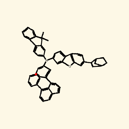 CC1(C)c2ccccc2-c2ccc(N(c3cccc(-c4cccc5cccc(-c6ccccc6)c45)c3)c3ccc4c(c3)oc3cc(C5CC6CCC5C6)ccc34)cc21